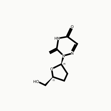 C=C1NC(=O)C=NN1[C@H]1CC[C@@H](CO)O1